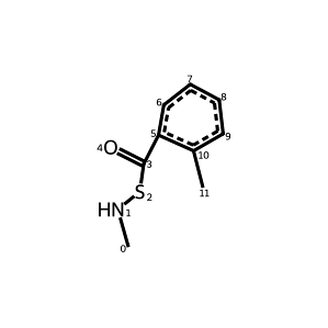 CNSC(=O)c1ccccc1C